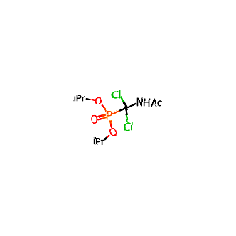 CC(=O)NC(Cl)(Cl)P(=O)(OC(C)C)OC(C)C